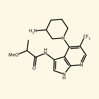 COC(C)C(=O)Nc1c[nH]c2ncc(C(F)(F)F)c(N3CCCC(N)C3)c12